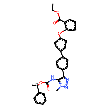 CCOC(=O)c1ccccc1Oc1ccc(-c2ccc(-c3nnn(C)c3NC(=O)O[C@H](C)c3ccccc3)cc2)cc1